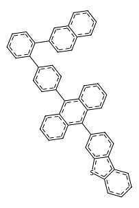 c1ccc(-c2ccc3ccccc3c2)c(-c2ccc(-c3c4ccccc4c(-c4ccc5c(c4)sc4ccccc45)c4ccccc34)cc2)c1